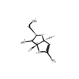 NC1=C[C@@H]2O[C@H](CO)C(O)[C@H]2O1